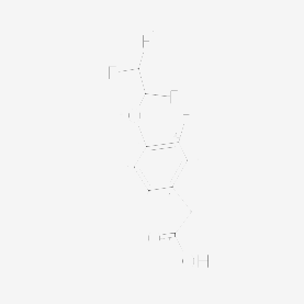 O=C(O)Cc1ccc(OC(F)C(F)F)c(F)c1